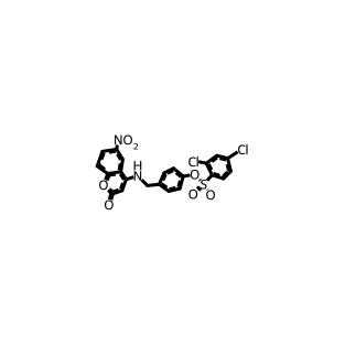 O=c1cc(NCc2ccc(OS(=O)(=O)c3ccc(Cl)cc3Cl)cc2)c2cc([N+](=O)[O-])ccc2o1